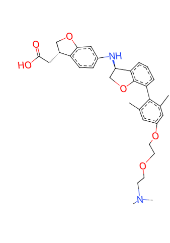 Cc1cc(OCCOCCN(C)C)cc(C)c1-c1cccc2c1OC[C@H]2Nc1ccc2c(c1)OC[C@H]2CC(=O)O